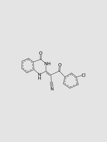 N#CC(C(=O)c1cccc(Cl)c1)=C1NC(=O)c2ccccc2N1